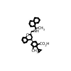 Cc1cc([C@@H]2C[C@H](CN[C@H](C)c3cccc4ccccc34)Oc3ccccc32)cc(C(=O)O)c1C1CC1